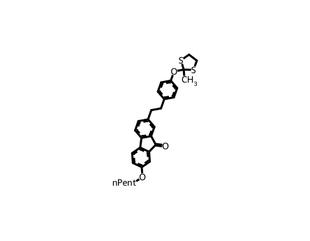 CCCCCOc1ccc2c(c1)C(=O)c1cc(CCc3ccc(OC4(C)SCCS4)cc3)ccc1-2